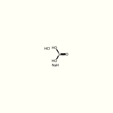 Cl.O=[Si](O)O.[NaH]